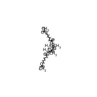 C=CC(=O)OCCCCCC(=O)OCC(C)(C)C(=O)OC(=O)C(C)(C)COC(=O)CCCCCOC(=O)C=C